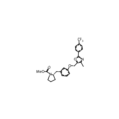 COC(=O)N1CCC[C@@H]1Cc1cccc(OCc2oc(-c3ccc(C(F)(F)F)cc3)nc2C)c1